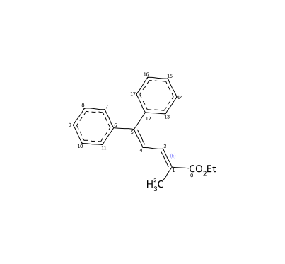 CCOC(=O)/C(C)=C/C=C(c1ccccc1)c1ccccc1